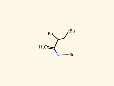 C=C(NC(C)CC)C(CC(C)(C)C)C(C)(C)C